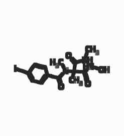 CNC(=O)C(C)(C(=O)NO)N(C)C(=O)c1ccc(I)cc1